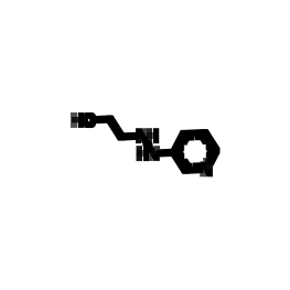 OCCNNc1cccnc1